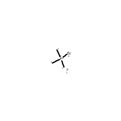 CC[P+](C)(C)C.[I-]